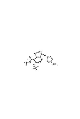 CC(C)(C)OC(=O)N(C(=O)OC(C)(C)C)c1ncnc(Oc2ccc(N)cc2)c1F